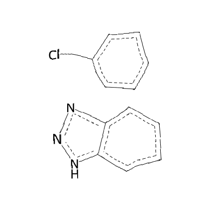 Clc1ccccc1.c1ccc2[nH]nnc2c1